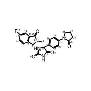 O=C1NC(=O)[C@](CN2Cc3ccc(F)cc3C2=O)(c2ccc(N3CCCC3=O)cc2)N1